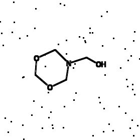 OCN1COCOC1